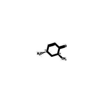 C[C@@H]1C=CC(=O)[C@@H](C)C1